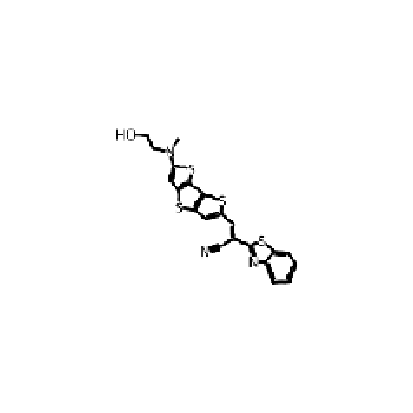 CN(CCO)c1cc2sc3cc(/C=C(\C#N)c4nc5ccccc5s4)sc3c2s1